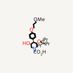 COCCCOc1ccc([C@@H]2[C@@H](O)CN(C(=O)O)C[C@H]2O[Si](C(C)C)(C(C)C)C(C)C)cc1